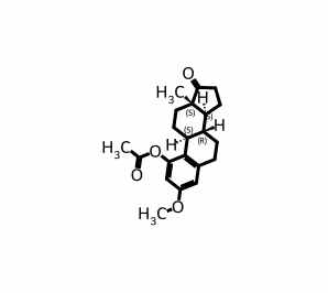 COc1cc2c(c(OC(C)=O)c1)[C@H]1CC[C@]3(C)C(=O)CC[C@H]3[C@@H]1CC2